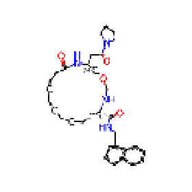 O=C1CCCCCCCCC[C@@H](C(=O)NCc2cccc3ccccc23)NCOC[C@H](CC(=O)N2CCCC2)N1